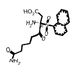 NC(=O)CCCCC(=O)[C@@](N)(CC(=O)O)S(=O)(=O)c1cccc2ccccc12